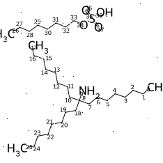 CCCCCCCCC(N)(CCCCCCCC)CCCCCCCC.CCCCCCCCOS(=O)(=O)O